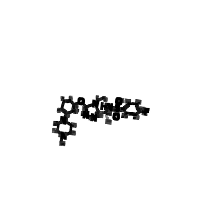 CCn1c(Oc2cccc(N3CCN(C)CC3)c2)nnc1[C@@H](C)NS(=O)(=O)c1ccc(F)cc1